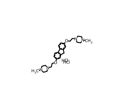 CN1CCN(CCOc2ccc3c(c2)Cc2cc(OCCN4CCN(C)CC4)ccc2-3)CC1.Cl.Cl